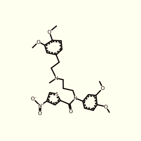 COc1ccc(CCN(C)CCCN(C(=O)c2cc([N+](=O)[O-])cs2)c2ccc(OC)c(OC)c2)cc1OC